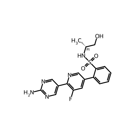 C[C@H](CO)NS(=O)(=O)c1ccccc1-c1cnc(-c2cnc(N)nc2)c(F)c1